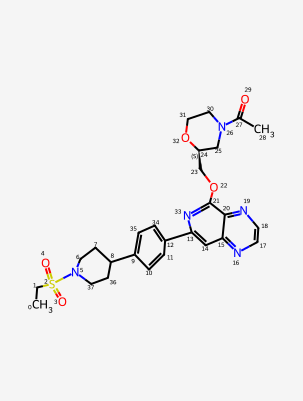 CCS(=O)(=O)N1CCC(c2ccc(-c3cc4nccnc4c(OC[C@@H]4CN(C(C)=O)CCO4)n3)cc2)CC1